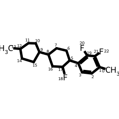 Cc1ccc(C2CCC(C3CCC(C)CC3)CC2F)c(F)c1F